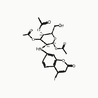 CC(=O)OC1[C@H](OC(C)=O)C(CO)O[C@@H](OC(C)=O)[C@H]1Nc1ccc2c(I)cc(=O)oc2c1